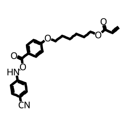 C=CC(=O)OCCCCCCOc1ccc(C(=O)ONc2ccc(C#N)cc2)cc1